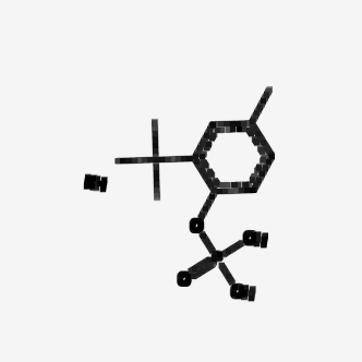 Cc1ccc(OP(=O)(O)O)c(C(C)(C)C)c1.[KH]